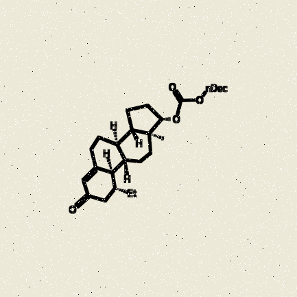 CCCCCCCCCCOC(=O)O[C@H]1CC[C@H]2[C@@H]3CCC4=CC(=O)C[C@@H](CC)[C@@H]4[C@H]3CC[C@]12C